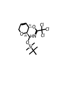 CC(C)(C)[Si](C)(C)OC[C@H]1OCC=C[C@@H]1OC(=N)C(Cl)(Cl)Cl